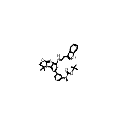 CN(C(=O)OC(C)(C)C)c1cncc(-c2nc(NCCc3c[nH]c4ccccc34)c3nc4n(c3n2)C(C)(C)CO4)c1